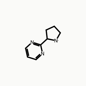 c1cnc(C2CCC[N]2)nc1